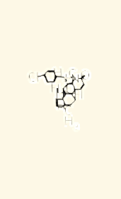 CN1C(=O)C=C[C@]2(C)[C@H]3CC[C@]4(C)CCC[C@H]4[C@@H]3C[C@@H](Cc3ccc(Cl)cc3)[C@@H]12